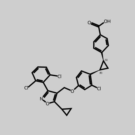 O=C(O)c1ccc([C@H]2C[C@H]2c2ccc(OCc3c(-c4c(Cl)cccc4Cl)noc3C3CC3)cc2Cl)cc1